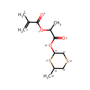 C=C(C)C(=O)OC(C)C(=O)OC1CSCC(C)S1